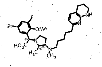 COc1c(F)cc(C(C)C)cc1[C@H](C(=O)O)N1CC[C@@H](N(C)CCCCCc2ccc3c(n2)NCCC3)[C@H]1C